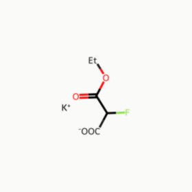 CCOC(=O)C(F)C(=O)[O-].[K+]